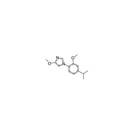 COc1cn(-c2ccc(C(C)C)cc2OC)cn1